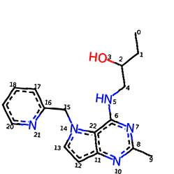 CCC(O)CNc1nc(C)nc2ccn(Cc3ccccn3)c12